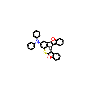 c1ccc(N(c2ccccc2)c2cc3c4c(c2)-c2oc5ccccc5c2B4c2c(oc4ccccc24)S3)cc1